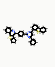 C1=Cc2sc3c(c(-c4ccc(-c5nc(-c6ccccc6)cc(-c6cccc7c6sc6ccccc67)n5)cc4)nc4ccccc43)c2C1